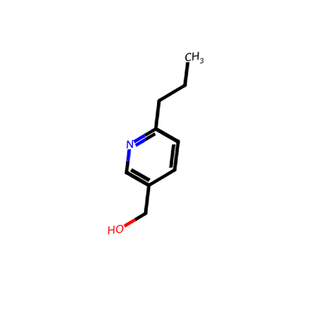 CCCc1ccc(CO)cn1